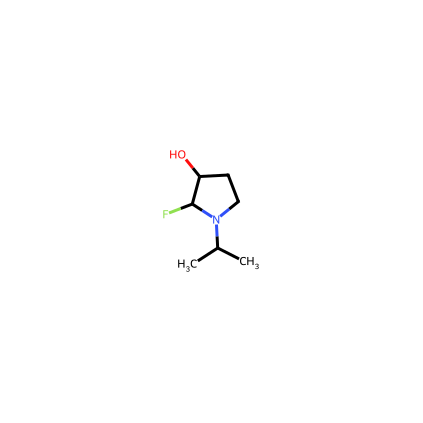 CC(C)N1CCC(O)C1F